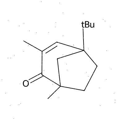 CC1=CC2(C(C)(C)C)CCC(C)(C2)C1=O